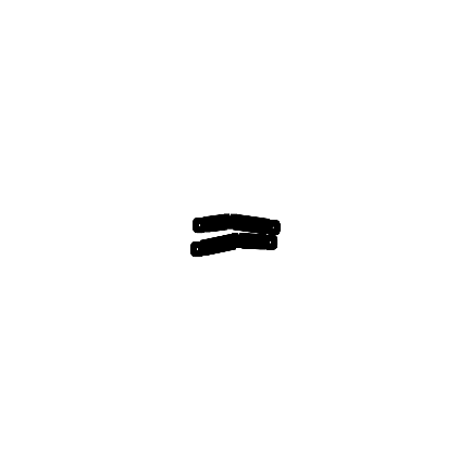 [O]=[V]=[O].[O]=[V]=[O]